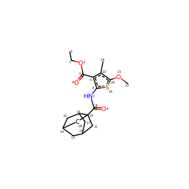 CCOC(=O)c1c(NC(=O)C23CC4CC(CC2C4)C3)sc(OC)c1C